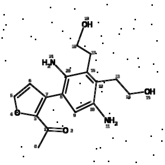 CC(=O)c1occc1-c1cc(N)c(CCO)c(CCO)c1N